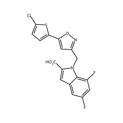 O=C(O)c1cc2cc(F)cc(F)c2n1Cc1cc(-c2ccc(Cl)s2)on1